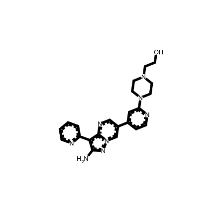 Nc1nn2cc(-c3ccnc(N4CCN(CCO)CC4)c3)cnc2c1-c1ccccn1